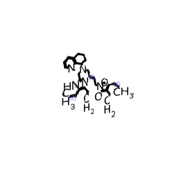 C=Cc1nc(CN(C/C=C/Cn2oc(/C=C\C)c(C=C)c2=O)C2CCCc3cccnc32)[nH]c1/C=C\C